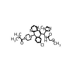 COCC(=O)NC(C1=Cc2cccnc2C(N2CCN(C(=O)C(C)C)CC2)c2ccc(Cl)cc21)c1cncn1C